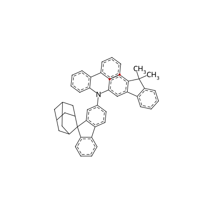 CC1(C)c2ccccc2-c2cc(N(c3ccc4c(c3)C3(c5ccccc5-4)C4CC5CC(C4)CC3C5)c3ccccc3-c3ccccc3)ccc21